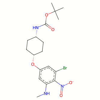 CNc1cc(O[C@H]2CC[C@@H](NC(=O)OC(C)(C)C)CC2)cc(Br)c1[N+](=O)[O-]